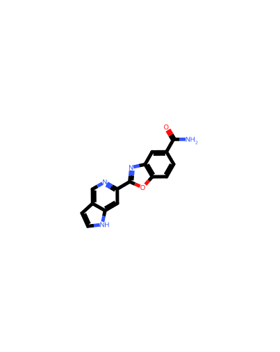 NC(=O)c1ccc2oc(-c3cc4[nH]ccc4cn3)nc2c1